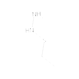 CCSNN